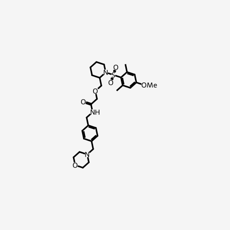 COc1cc(C)c(S(=O)(=O)N2CCCCC2COCC(=O)NCc2ccc(CN3CCOCC3)cc2)c(C)c1